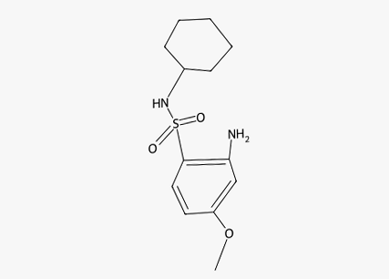 COc1ccc(S(=O)(=O)NC2CCCCC2)c(N)c1